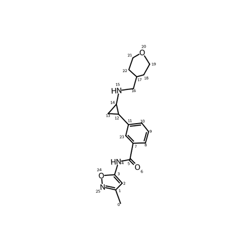 Cc1cc(NC(=O)c2cccc(C3CC3NCC3CCOCC3)c2)on1